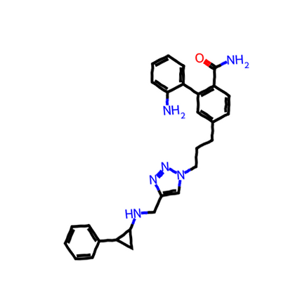 NC(=O)c1ccc(CCCn2cc(CNC3CC3c3ccccc3)nn2)cc1-c1ccccc1N